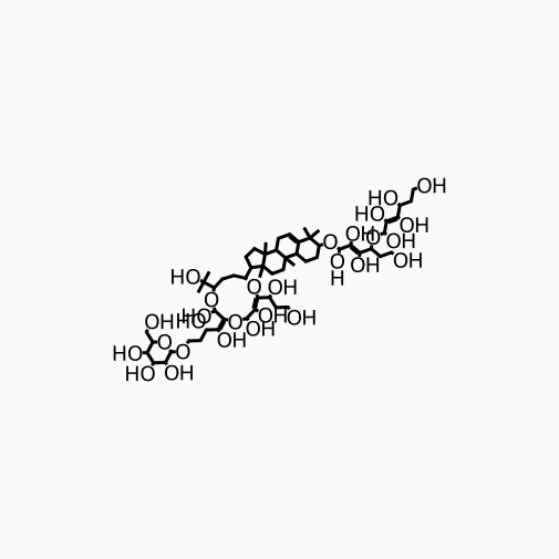 CC(C)(O)C1CCC(C2CCC3(C)C4CC=C5C(CCC(OC(O)/C(O)=C(\O)C(CCO)OC(O)/C(O)=C(\O)C(O)CCO)C5(C)C)C4(C)CCC23C)O/C(C(O)CCO)=C(/O)C(O)O/C(=C(\O)C(O)CCOC2OC(CO)C(O)C(O)C2O)C(O)O1